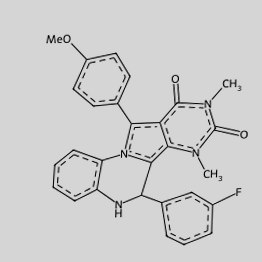 COc1ccc(-c2c3c(=O)n(C)c(=O)n(C)c3c3n2-c2ccccc2NC3c2cccc(F)c2)cc1